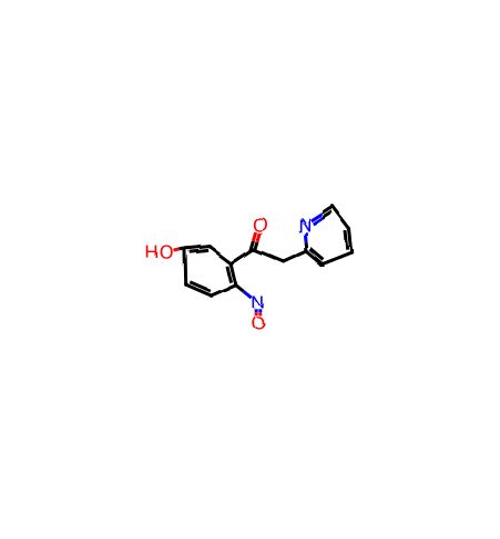 O=Nc1ccc(O)cc1C(=O)Cc1ccccn1